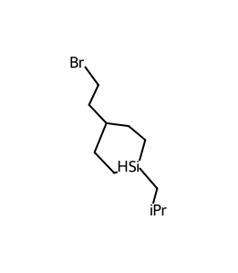 CC(C)C[SiH]1CCC(CCBr)CC1